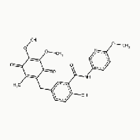 COC1=C(OC)C(=O)C(Cc2ccc(O)c(C(=O)Nc3ccc(OC)nc3)c2)=C(C)C1=O